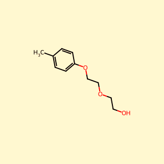 Cc1ccc(OCCOCCO)cc1